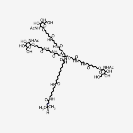 CC(=O)NC1C(O)[C@@H](O)C(CO)O[C@H]1OCCCCC(=O)CNCCCNC(=O)CCOCC(COCCC(=O)NCCCNC(=O)CCCCO[C@@H]1OC(CO)[C@H](O)C(O)C1NC(C)=O)(COCCC(=O)NCCCNC(=O)CCCCO[C@@H]1OC(CO)[C@H](O)C(O)C1NC(C)=O)NC(=O)CCCCCCCCCCC(=O)NCCCCCCNC(=O)/C=C/C(C)(C)S